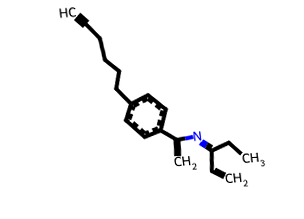 C#CCCCCc1ccc(C(=C)/N=C(\C=C)CC)cc1